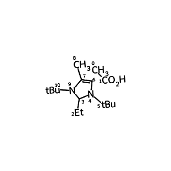 CC(=O)O.CCC1N(C(C)(C)C)C=C(C)N1C(C)(C)C